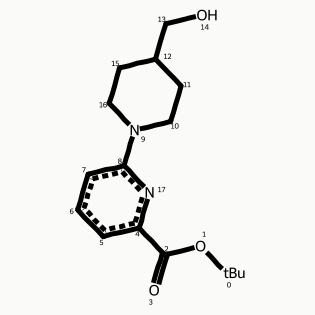 CC(C)(C)OC(=O)c1cccc(N2CCC(CO)CC2)n1